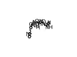 CN1CCN(C(=N)CCNC(=O)c2cc(NC(=O)c3cc(NC(=O)c4ccc(/C=C/c5cnc6ccccc6c5)cc4)cn3C)cn2C)CC1